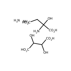 N.N.NC(O)(CC(=O)O)C(=O)O.O=C(O)C(O)C(O)C(=O)O